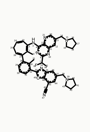 CC1=C(Nc2nc(C(F)F)nc3cc(CN4CCCC4)cnc23)C=CCC=C1c1cccc(-c2nc3cc(CN4CCCC4)cc(C#N)c3o2)c1C